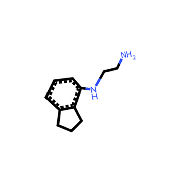 NCCNc1cccc2c1CCC2